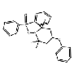 CC1(C)CC(Oc2ccccc2)CC(C)(C)N1OP(=O)(c1ccccc1)c1ccccc1